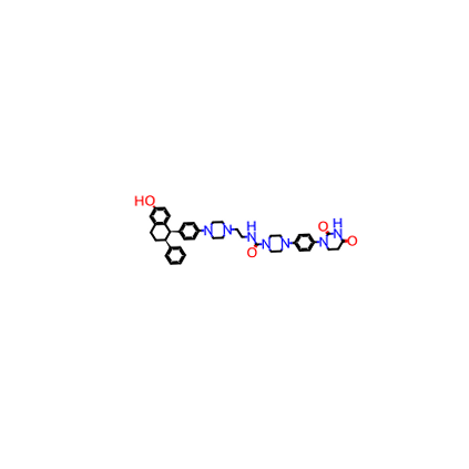 O=C1CCN(c2ccc(N3CCN(C(=O)NCCN4CCN(c5ccc([C@@H]6c7ccc(O)cc7CC[C@@H]6c6ccccc6)cc5)CC4)CC3)cc2)C(=O)N1